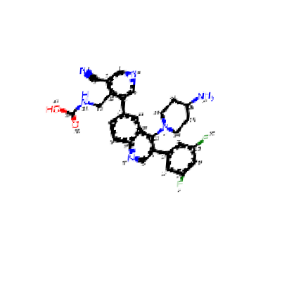 N#Cc1cncc(-c2ccc3ncc(-c4cc(F)cc(F)c4)c(N4CCC(N)CC4)c3c2)c1CNC(=O)O